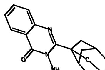 Nn1c(C23CC4CC(CC2C4)C3)nc2ccccc2c1=O